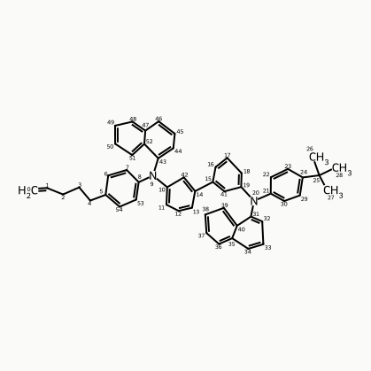 C=CCCCc1ccc(N(c2cccc(-c3cccc(N(c4ccc(C(C)(C)C)cc4)c4cccc5ccccc45)c3)c2)c2cccc3ccccc23)cc1